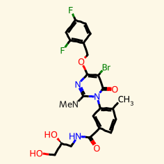 CNc1nc(OCc2ccc(F)cc2F)c(Br)c(=O)n1-c1cc(C(=O)NC[C@H](O)CO)ccc1C